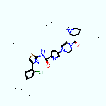 CN1CCC[C@H](C(=O)N2CCN(c3ccc(C(=O)Nc4nc(-c5ccccc5Cl)cs4)nc3)CC2)C1